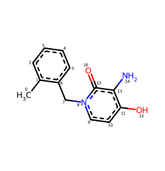 Cc1ccccc1Cn1ccc(O)c(N)c1=O